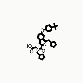 CC(C)(C)c1ccc(Oc2ccc3cc(C(=O)N(CC(=O)O)CC4CCCC4)nc(CC4CCCC4)c3c2)cc1